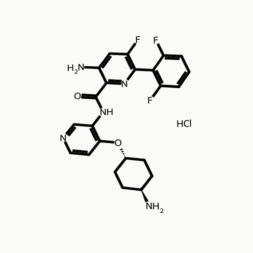 Cl.Nc1cc(F)c(-c2c(F)cccc2F)nc1C(=O)Nc1cnccc1O[C@H]1CC[C@H](N)CC1